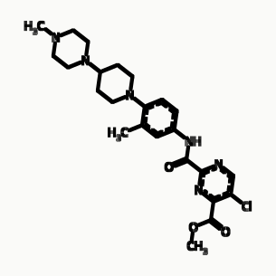 COC(=O)c1nc(C(=O)Nc2ccc(N3CCC(N4CCN(C)CC4)CC3)c(C)c2)ncc1Cl